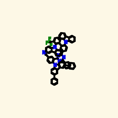 N#Cc1ccc(-n2c3ccc(-c4ccccc4)cc3c3cc(-c4ccccc4)ccc32)c(-c2nc(-c3ccccc3)nc(-c3ccc(-n4c5ccccc5c5ccccc54)c(-c4cccc(C(F)(F)F)c4-n4c5ccccc5c5ccccc54)c3)n2)c1